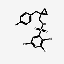 O=S(=O)(NCC1(Cc2ccc(F)cc2)CC1)c1cc(Cl)cc(Cl)c1O